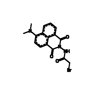 CN(C)c1ccc2c3c(cccc13)C(=O)N(NC(=O)CBr)C2=O